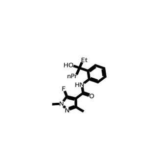 CCCC(O)(CC)c1ccccc1NC(=O)c1c(C)nn(C)c1F